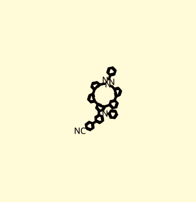 N#Cc1ccc(-c2ccc3c(c2)c2cc4cc(c5cccc(c5)c5cccc(c5)c5nc(-c6ccccc6)nc(n5)c5cccc(c5)c5cccc4c5)c2n3-c2ccccc2)cc1